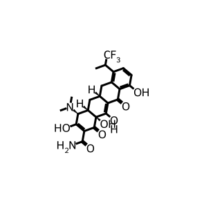 CC(c1ccc(O)c2c1C[C@H]1C[C@H]3[C@H](N(C)C)C(O)=C(C(N)=O)C(=O)[C@@]3(O)C(O)=C1C2=O)C(F)(F)F